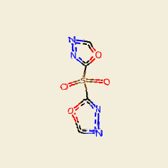 O=S(=O)(c1nnco1)c1nnco1